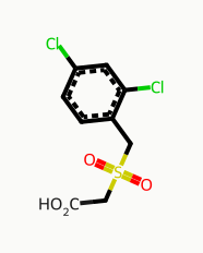 O=C(O)CS(=O)(=O)Cc1ccc(Cl)cc1Cl